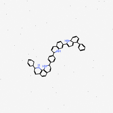 C1=CCC(C2C=Cc3ccc4c(c3N2)NC(c2ccc(C3C=Cc5ccc(C6=CC=C7C(c8ccccc8)=CC=CC7N6)cc5N3)cc2)C=C4)C=C1